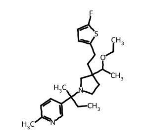 CCOC(C)C1(CCc2ccc(F)s2)CCN(C(C)(CC)c2ccc(C)nc2)C1